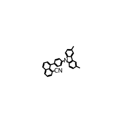 Cc1ccc2c(c1)c1cc(C)ccc1n2-c1ccc(-c2cccc3cccc(C#N)c23)cc1